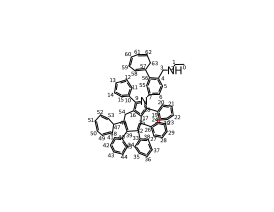 CCNCc1ccc(-n2c(-c3ccccc3)c3c(c2-c2ccccc2)C(c2ccccc2)=C(c2ccccc2)C(c2ccccc2)=C(C2C=CC=CC=C2)C3)cc1C1=CC=CC=CC1